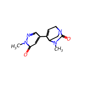 CN1C(=O)N2CC=C(c3cnn(C)c(=O)c3)C1C2